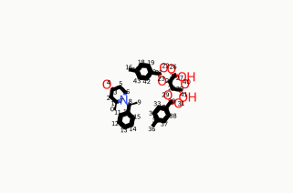 C[C@H]1CC(=O)CCN1[C@@H](C)c1ccccc1.Cc1ccc(C(=O)O[C@H](C(=O)O)[C@H](OC(=O)c2ccc(C)cc2)C(=O)O)cc1